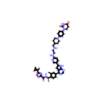 Cc1cc(-c2ncnc3[nH]c(-c4ccc(NCCNCC5CCN(c6ccc(N7CCC(=O)NC7=O)cc6)CC5)nc4)cc23)ccc1[C@@H](C)NC(=O)c1noc(C2(C)CC2)n1